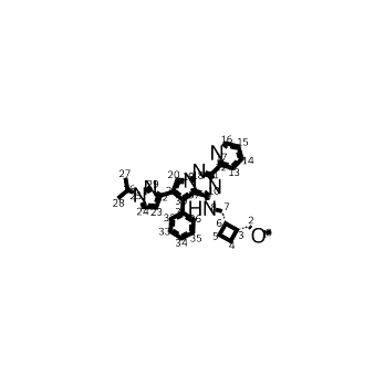 COC[C@@H]1CC[C@@H]1CNc1nc(-c2ccccn2)nn2cc(-c3ccn(C(C)C)n3)c(-c3ccccc3)c12